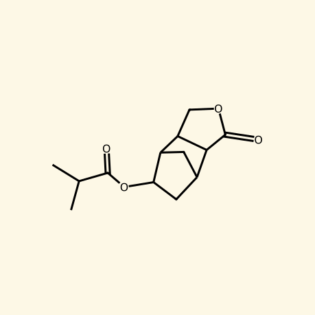 CC(C)C(=O)OC1CC2CC1C1COC(=O)C21